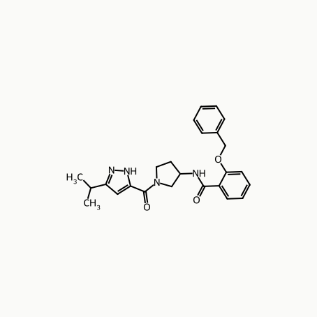 CC(C)c1cc(C(=O)N2CCC(NC(=O)c3ccccc3OCc3ccccc3)C2)[nH]n1